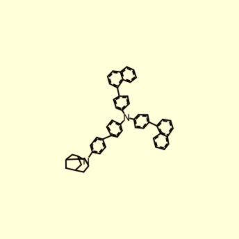 c1ccc2c(-c3ccc(N(c4ccc(-c5ccc(N6C7CC8CC(C7)CC6C8)cc5)cc4)c4ccc(-c5cccc6ccccc56)cc4)cc3)cccc2c1